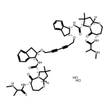 CNC(C)C(=S)N[C@H]1CCS[C@H]2CC(C)(C)[C@@H](C(=O)N[C@H]3c4ccccc4C[C@H]3OCC#CC#CCO[C@@H]3Cc4ccccc4[C@@H]3NC(=O)[C@H]3N4C(=O)[C@@H](NC(=S)C(C)NC)CCS[C@H]4CC3(C)C)N2C1=O.Cl.Cl